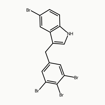 Brc1ccc2[nH]cc(Cc3cc(Br)c(Br)c(Br)c3)c2c1